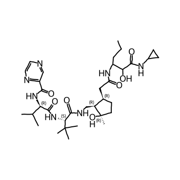 CCCC(NC(=O)C[C@H]1CC[C@@](C)(O)[C@H]1CNC(=O)[C@@H](NC(=O)[C@H](NC(=O)c1cnccn1)C(C)C)C(C)(C)C)C(O)C(=O)NC1CC1